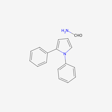 NC=O.c1ccc(-c2cccn2-c2ccccc2)cc1